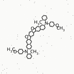 COc1ccc(N(c2ccc3cc4c(cc3c2)oc2cc3oc5cc6cc(N(c7ccc(OC)cc7)c7ccccc7C)ccc6cc5c3cc24)c2ccccc2C)cc1